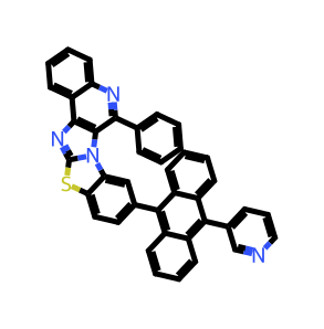 c1ccc(-c2nc3ccccc3c3nc4sc5ccc(-c6c7ccccc7c(-c7cccnc7)c7ccccc67)cc5n4c23)cc1